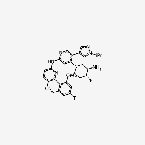 COc1cc(F)cc(F)c1-c1nc(Nc2cc(N3CC[C@@H](F)[C@H](N)C3)c(-c3cnn(C(C)C)c3)cn2)ccc1C#N